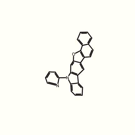 c1ccc(-n2c3ccccc3c3cc4c(cc32)oc2c3ccccc3ccc42)nc1